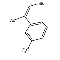 CCCC/C=C(/C(C)=O)c1cccc(C(F)(F)F)c1